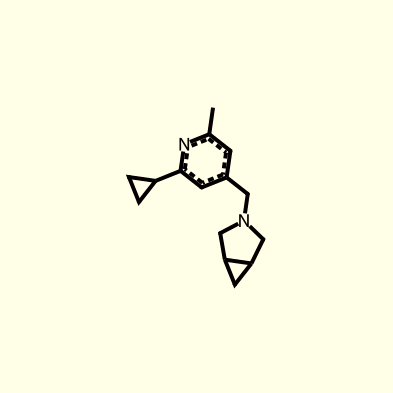 Cc1cc(CN2CC3CC3C2)cc(C2CC2)n1